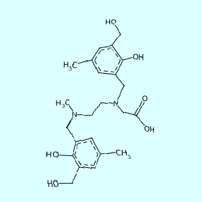 Cc1cc(CO)c(O)c(CN(C)CCN(CC(=O)O)Cc2cc(C)cc(CO)c2O)c1